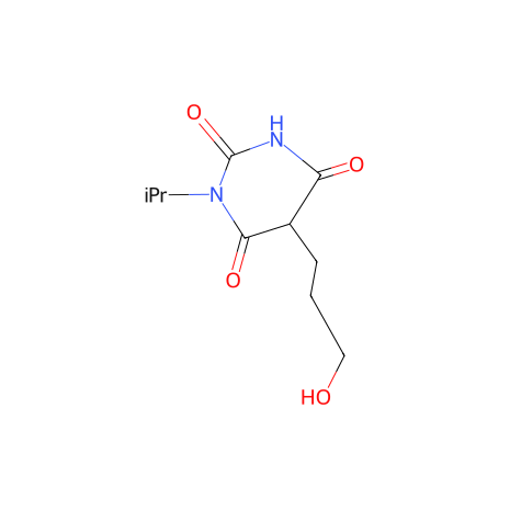 CC(C)N1C(=O)NC(=O)C(CCCO)C1=O